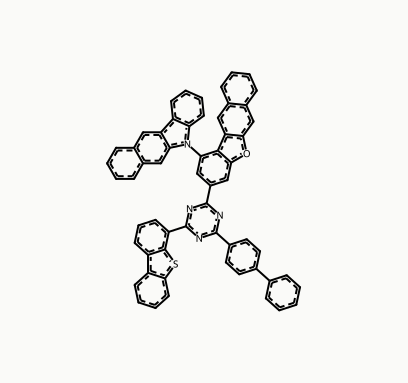 c1ccc(-c2ccc(-c3nc(-c4cc(-n5c6ccccc6c6cc7ccccc7cc65)c5c(c4)oc4cc6ccccc6cc45)nc(-c4cccc5c4sc4ccccc45)n3)cc2)cc1